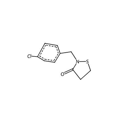 O=C1CCSN1Cc1ccc(Cl)cc1